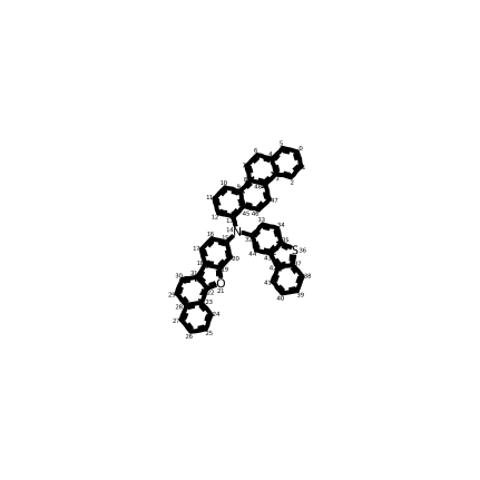 c1ccc2c(c1)ccc1c3cccc(N(c4ccc5c(c4)oc4c6ccccc6ccc54)c4ccc5sc6ccccc6c5c4)c3ccc21